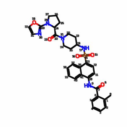 Cc1ccccc1C(=O)Nc1ccc(S(=O)(=O)NC2CCN(C(=O)[C@@H]3CCCN3c3ncco3)CC2)c2ccccc12